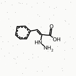 NNC(=Cc1ccccc1)C(=O)O